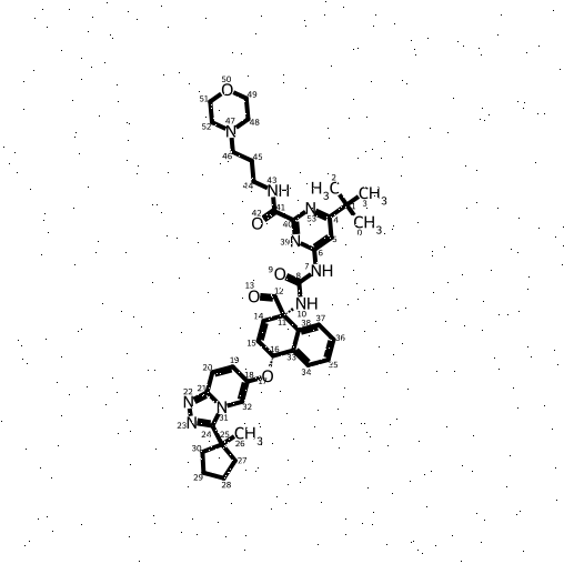 CC(C)(C)c1cc(NC(=O)N[C@@]2(C=O)C=C[C@@H](Oc3ccc4nnc(C5(C)CCCC5)n4c3)c3ccccc32)nc(C(=O)NCCCN2CCOCC2)n1